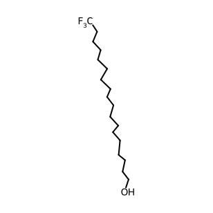 OCCCCCCCCCCCCCCCCCC(F)(F)F